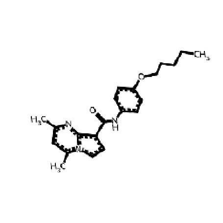 CCCCCOc1ccc(NC(=O)c2ccn3c(C)cc(C)nc23)cc1